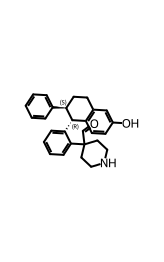 O=CC1(c2ccccc2[C@H]2c3ccc(O)cc3CC[C@@H]2c2ccccc2)CCNCC1